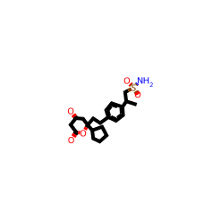 CC(CS(N)(=O)=O)c1ccc(CCC2(C3CCCC3)CC(=O)CC(=O)O2)cc1